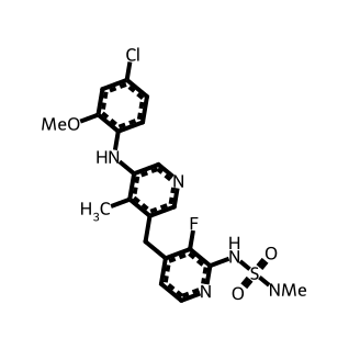 CNS(=O)(=O)Nc1nccc(Cc2cncc(Nc3ccc(Cl)cc3OC)c2C)c1F